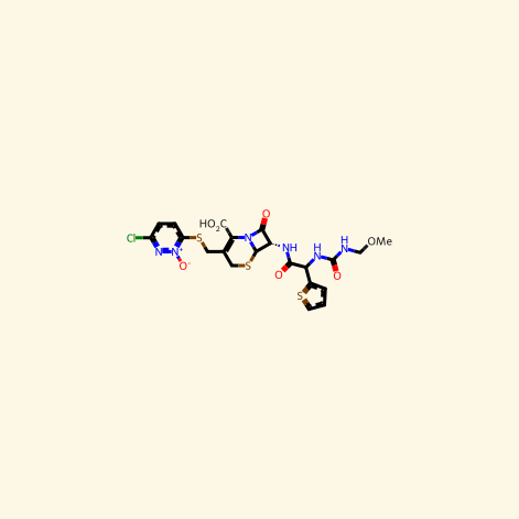 COCNC(=O)NC(C(=O)N[C@H]1C(=O)N2C(C(=O)O)=C(CSc3ccc(Cl)n[n+]3[O-])CSC12)c1cccs1